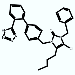 CCCCc1c(Cl)n(Cc2ccccc2)c(=O)n1Cc1ccc(-c2ccccc2-c2nnn[nH]2)cc1